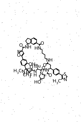 Cc1ncsc1-c1ccc(C(CC(=O)NCCCCNC(=O)c2ccc3c(c2)[C@H](NC(=O)c2cc(-c4ccc(C(=O)N(C)C)c(O)c4)on2)CC3)NC(=O)[C@@H]2C[C@@H](O)CN2C(=O)C(NC(=O)C2(F)CC2)C(C)(C)C)cc1